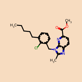 CCCCCc1cccc(Cn2c(C)nc3ccc(C(=O)OC)nc32)c1Cl